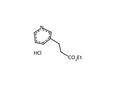 CCOC(=O)CCc1cccnc1.Cl